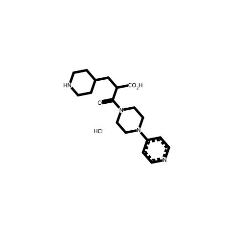 Cl.O=C(O)C(CC1CCNCC1)C(=O)N1CCN(c2ccncc2)CC1